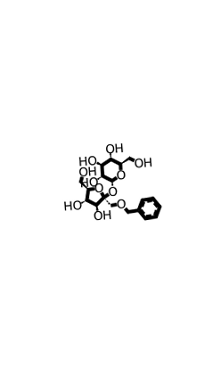 OC[C@H]1O[C@@](COCc2ccccc2)(O[C@H]2O[C@H](CO)[C@@H](O)[C@H](O)[C@H]2O)[C@@H](O)[C@@H]1O